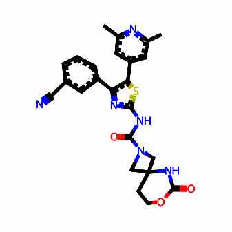 Cc1cc(-c2sc(NC(=O)N3CC4(CCOC(=O)N4)C3)nc2-c2cccc(C#N)c2)cc(C)n1